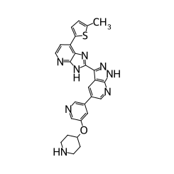 Cc1ccc(-c2ccnc3[nH]c(-c4n[nH]c5ncc(-c6cncc(OC7CCNCC7)c6)cc45)nc23)s1